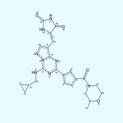 CC1CN(C(=O)c2ccc(-c3nc(NCC4CC4)n4ncc(/C=C5\NC(=O)NC5=O)c4n3)s2)CCO1